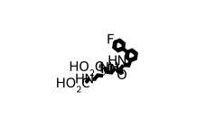 O=C(O)NCCC[C@@H](CNC(=O)c1cc2cccc(-c3ccc(F)cc3)c2[nH]1)NC(=O)O